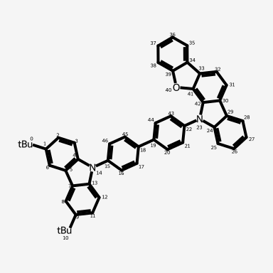 CC(C)(C)c1ccc2c(c1)c1cc(C(C)(C)C)ccc1n2-c1ccc(-c2ccc(-n3c4ccccc4c4ccc5c6ccccc6oc5c43)cc2)cc1